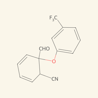 N#CC1C=CC=CC1(C=O)Oc1cccc(C(F)(F)F)c1